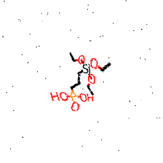 CCO[Si](CCCP(=O)(O)O)(OCC)OCC